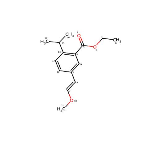 CCOC(=O)c1cc(C=COC)ccc1C(C)C